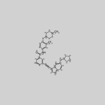 CN1CCN(Cc2ccc(NC(=O)c3cncc(C#Cc4cnc5ccc(OC6CCOC6)nn45)c3)cc2C(F)(F)F)CC1